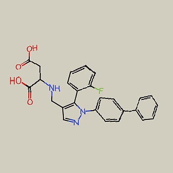 O=C(O)CC(NCc1cnn(-c2ccc(-c3ccccc3)cc2)c1-c1ccccc1F)C(=O)O